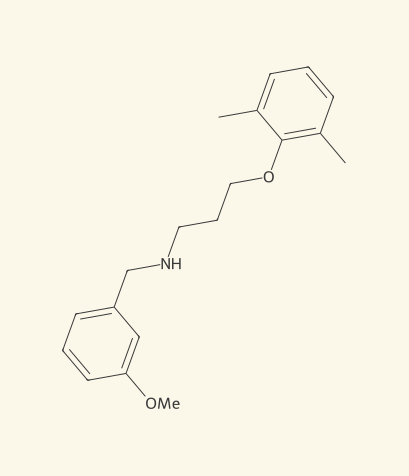 COc1cccc(CNCCCOc2c(C)cccc2C)c1